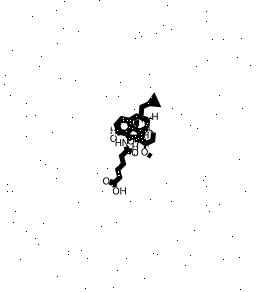 CO[C@]12CC[C@@]3(C[C@@H]1CNC(=O)CCCCC(=O)O)[C@H]1Cc4ccc(O)c5c4[C@@]3(CCN1CC1CC1)[C@H]2O5